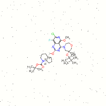 COc1nc(Cl)c(F)c2nc(OC[C@]34CCC[C@H]3N(C(=O)OC(C)(C)C)CCC4)nc(N3CCOCC(C)(O[Si](C)(C)C(C)(C)C)C3)c12